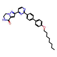 CCCCCCCCOc1ccc(-c2ccc(-c3nccc(-c4cc5n(n4)CCNC5=O)n3)cc2)cc1